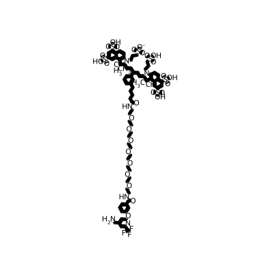 CC1(C)C(/C=C/C(=C/C=C2\N(CCCS(=O)(=O)O)c3ccc4c(S(=O)(=O)O)cc(S(=O)(=O)O)cc4c3C2(C)C)c2cccc(CCCCC(=O)NCCOCCOCCOCCOCCOCCOCCOCCNC(=O)c3cccc(Oc4cc(CN)cc(C(F)(F)F)n4)c3)c2)=[N+](CCCS(=O)(=O)[O-])c2ccc3c(S(=O)(=O)O)cc(S(=O)(=O)O)cc3c21